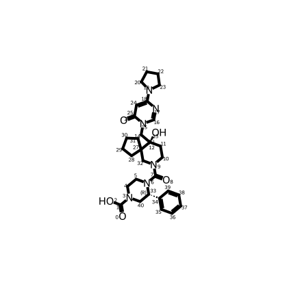 O=C(O)N1CCN(C(=O)N2CC[C@@](O)(Cn3cnc(N4CCCC4)cc3=O)C3(CCCC3)C2)[C@H](c2ccccc2)C1